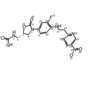 O=C(S)NC[C@H]1CN(c2ccc(NCCc3ncc([N+](=O)[O-])cn3)c(F)c2)C(=O)O1